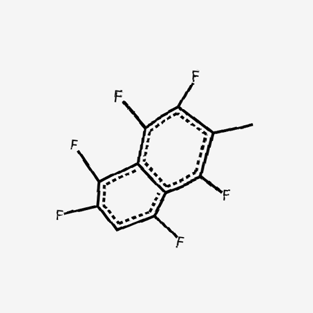 Cc1c(F)c(F)c2c(F)c(F)cc(F)c2c1F